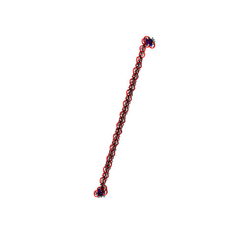 O=C(CCOCCOCCOCCOCCOCCOCCOCCOCCOCCOCCOCCOCCOCCOCCOCCOCCOCCOCCOCCOCCOCCOCCOCCOCCOCCC1OC1ON1C(=O)CCC1=O)ON1C(=O)CCC1=O